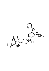 COc1cc(C(=O)N2CCC(c3cc(OC)c(N)nn3)CC2)ncc1Oc1ccccc1